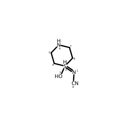 N#CN=[SH]1(O)CCNCC1